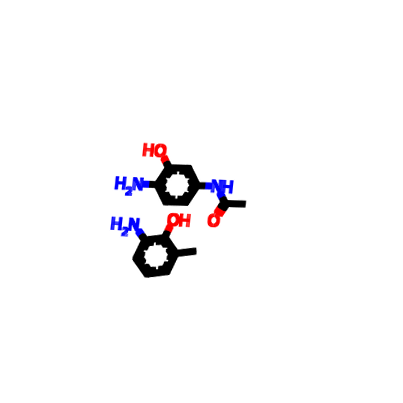 CC(=O)Nc1ccc(N)c(O)c1.Cc1cccc(N)c1O